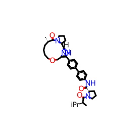 CC(C)[C@H](C)C(=O)N1CCC[C@H]1C(=O)Nc1ccc(-c2ccc(-c3nc4[nH]c3COCCCC[C@H](C)C(=O)N3CCC[C@@H]43)cc2)cc1